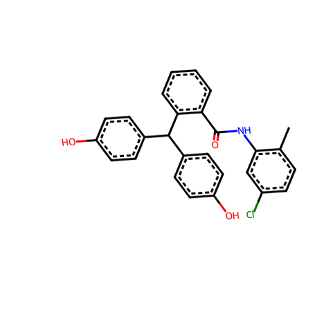 Cc1ccc(Cl)cc1NC(=O)c1ccccc1C(c1ccc(O)cc1)c1ccc(O)cc1